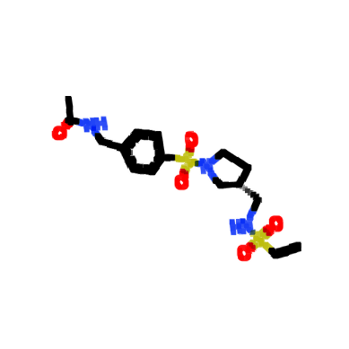 C=CS(=O)(=O)NC[C@H]1CCN(S(=O)(=O)c2ccc(CNC(C)=O)cc2)C1